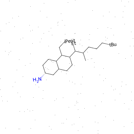 CCCC(C)CC1C2CC[C@@H](N)CC2CCC1C(CC)C(C)CCCC(C)(C)C